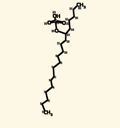 CCCCCCCCCCCCCC(CCCCC)OS(=O)(=O)O